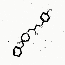 Oc1ccc(OC[C@@H](O)CN2CCC(O)(Cc3ccccc3)CC2)cc1